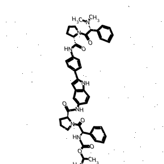 CC(C)OC(=O)N[C@@H](C(=O)N1CCC[C@H]1C(=O)Nc1ccc2[nH]c(-c3ccc(NC(=O)[C@@H]4CCCN4C(=O)[C@@H](c4ccccc4)N(C)C)cc3)cc2c1)c1ccccc1